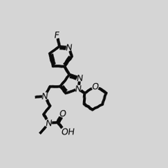 CN(CCN(C)C(=O)O)Cc1cn(C2CCCCO2)nc1-c1ccc(F)nc1